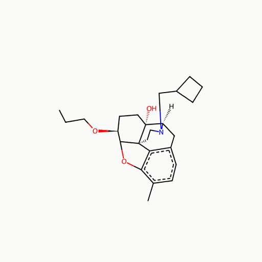 CCCO[C@H]1CC[C@@]2(O)[C@H]3Cc4ccc(C)c5c4[C@@]2(CCN3CC2CCC2)C1O5